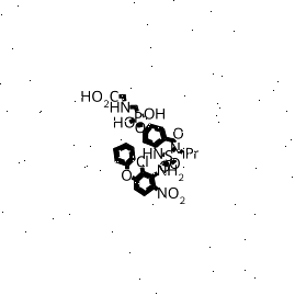 CC(C)N1C(=O)c2ccccc2NS1(=O)=O.Nc1c([N+](=O)[O-])ccc(Oc2ccccc2)c1Cl.O=C(O)CNCP(=O)(O)O